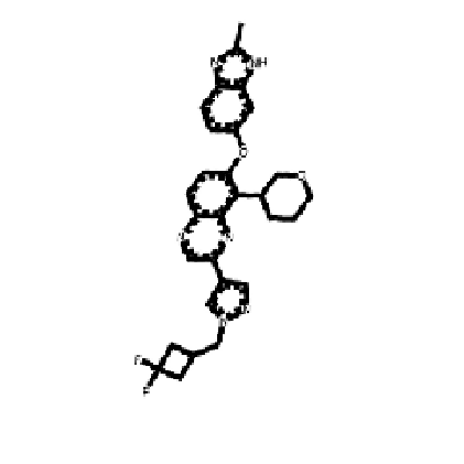 Cc1nc2ccc(Oc3ccc4ncc(-c5cnn(CC6CC(F)(F)C6)c5)nc4c3C3CCCOC3)cc2[nH]1